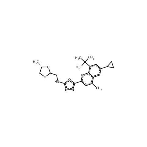 Cc1cc(-c2nnc(NCC3OC[C@H](C)O3)o2)nc2c(C(C)(C)C)cc(C3CC3)cc12